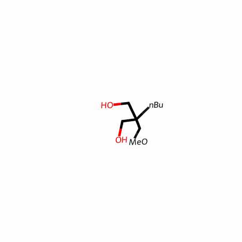 CCCCC(CO)(CO)COC